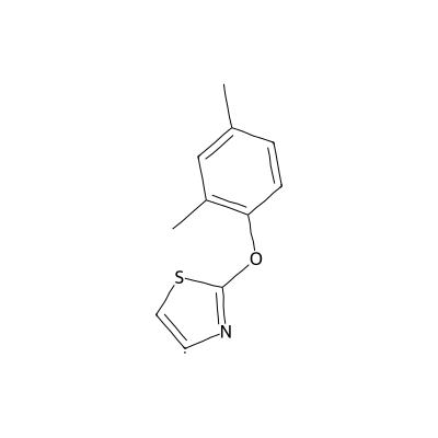 Cc1ccc(Oc2n[c]cs2)c(C)c1